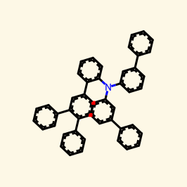 c1ccc(-c2cccc(N(c3cccc(-c4ccccc4)c3)c3ccccc3-c3ccc(-c4ccccc4)c(-c4ccccc4)c3)c2)cc1